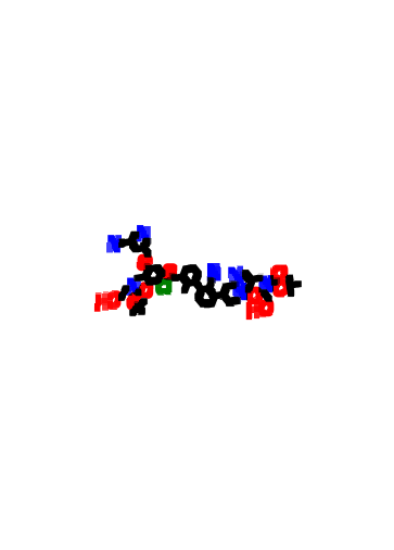 Cc1c(COc2cc(OCc3cncc(C#N)c3)c(CN(CCO)C(=O)OC(C)(C)C)cc2Cl)cccc1-c1cccc(-c2ccn3c(=O)c(CN(CCO)C(=O)OC(C)(C)C)cnc3c2)c1C#N